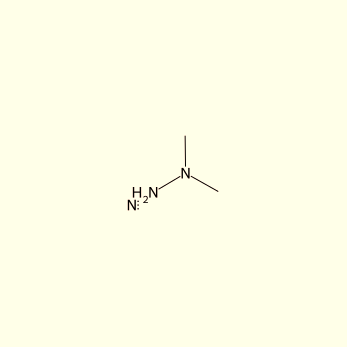 CN(C)N.[N]